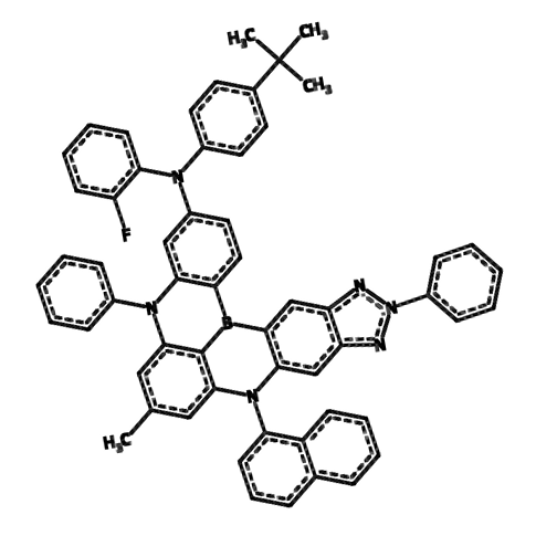 Cc1cc2c3c(c1)N(c1cccc4ccccc14)c1cc4nn(-c5ccccc5)nc4cc1B3c1ccc(N(c3ccc(C(C)(C)C)cc3)c3ccccc3F)cc1N2c1ccccc1